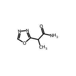 CC(C(N)=O)c1nnco1